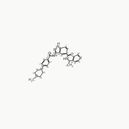 CC(NC(=O)c1ccc2[nH]nc(NC(=O)c3ccc(N4CCN(C)CC4)cc3)c2c1)c1ccncc1